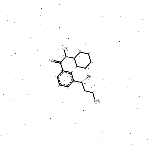 CN(C(=O)c1cccc([C@H](O)CCN)c1)C1CCCCC1